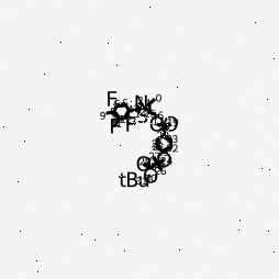 Cc1nc(-c2cc(F)c(C)c(F)c2F)sc1COC(=O)c1ccc(OC(C)(C)C(=O)OC(C)(C)C)cc1